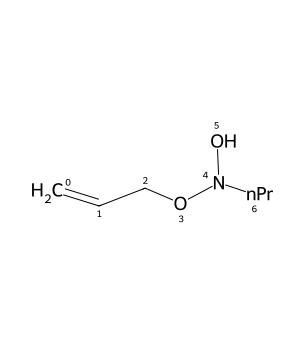 C=CCON(O)CCC